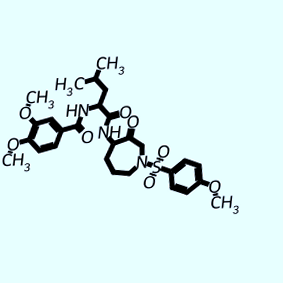 COc1ccc(S(=O)(=O)N2CCCC(NC(=O)C(CC(C)C)NC(=O)c3ccc(OC)c(OC)c3)C(=O)C2)cc1